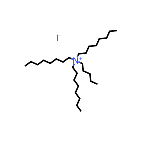 CCCCCCCC[N+](CCCCC)(CCCCCCCC)CCCCCCCC.[I-]